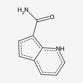 NC(=O)c1ccc2ccc[nH]c1-2